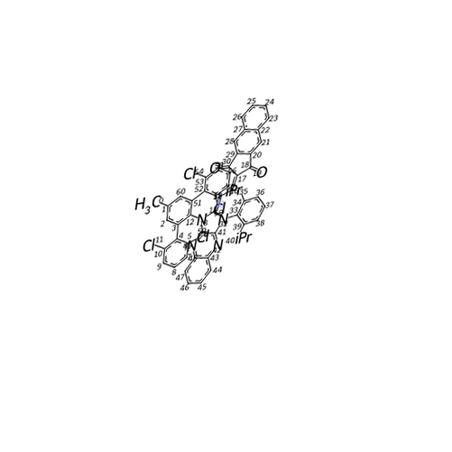 Cc1cc(-c2c(Cl)cccc2Cl)c(N2/C(=C/C=C3C(=O)c4cc5ccccc5cc4C3=O)N(c3c(C(C)C)cccc3C(C)C)c3nc4ccccc4nc32)c(-c2c(Cl)cccc2Cl)c1